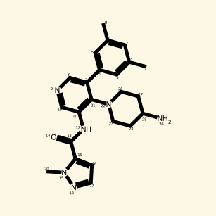 Cc1cc(C)cc(-c2cncc(NC(=O)c3ccnn3C)c2N2CCC(N)CC2)c1